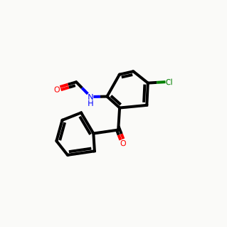 O=CNc1ccc(Cl)cc1C(=O)c1ccccc1